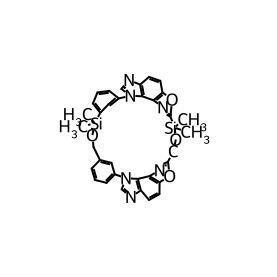 C[Si]1(C)OCc2cccc(c2)-n2cnc3ccc4oc(nc4c32)CO[Si](C)(C)c2nc3c(ccc4ncn(c43)-c3cccc1c3)o2